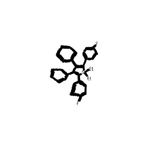 CC[Si]1(CC)C(c2ccc(F)cc2)=C(c2ccccc2)C(c2ccccc2)=C1c1ccc(F)cc1